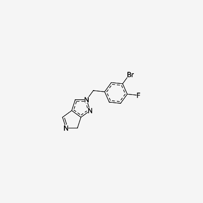 Fc1ccc(Cn2cc3c(n2)CN=C3)cc1Br